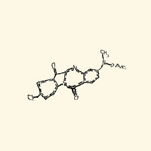 CC(=O)ON(C)c1ccc2c(=O)n3c(nc2c1)C(=O)c1cc(Cl)ccc1-3